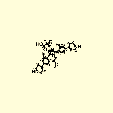 COCCn1c(-c2ccc(C3=CCNCC3)cc2F)nnc1-c1ccc(C2=CCNCC2)cc1F.O=C(O)C(F)(F)F